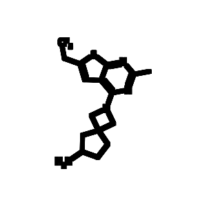 Cc1nc(N2CC3(CCC(N)C3)C2)c2cc(CC(F)(F)F)sc2n1